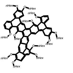 CCCCCCOC1=C(OCCCCCC)Cc2c(c3cccc(OCCCCCC)c3c3c(OCCCCCC)c4c(cc23)c2cc3c(cc2c2c(OCCCCCC)c5c(cc42)c2cc(OCCCCCC)c(OCCCCCC)cc2c2cccc(OCCCCCC)c25)C=C2C(OCCCCCC)=C(OCCCCCC)C=CC24C=CC(OCCCCCC)=C(OCCCCCC)C=34)=C1